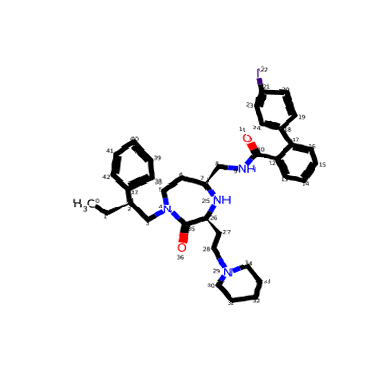 CC[C@H](CN1CC[C@@H](CNC(=O)c2ccccc2-c2ccc(I)cc2)N[C@@H](CCN2CCCCC2)C1=O)c1ccccc1